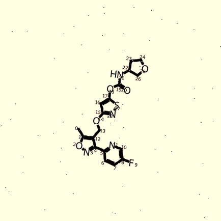 Cc1onc(-c2ccc(F)cn2)c1COc1cc(OC(=O)NC2CCOC2)sn1